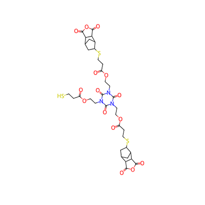 O=C(CCS)OCCn1c(=O)n(CCOC(=O)CCSC2CC3CC2C2C(=O)OC(=O)C32)c(=O)n(CCOC(=O)CCSC2CC3CC2C2C(=O)OC(=O)C32)c1=O